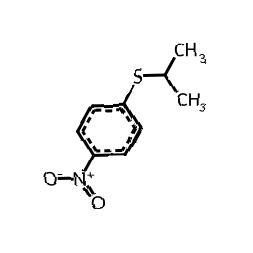 CC(C)Sc1ccc([N+](=O)[O-])cc1